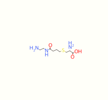 NCCNC(=O)CCCSC[C@H](N)C(=O)O